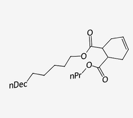 CCCCCCCCCCCCCCCOC(=O)C1CC=CCC1C(=O)OCCC